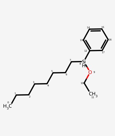 CCCCCCCC[SiH](OCC)c1ccccc1